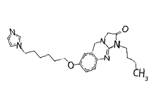 CCCCN1C(=O)CN2Cc3cc(OCCCCCCn4ccnc4)ccc3N=C21